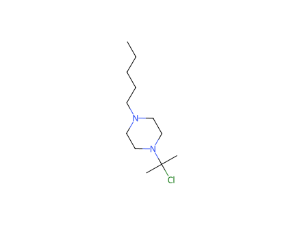 CCCCCN1CCN(C(C)(C)Cl)CC1